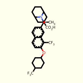 C[C@@H](c1ccc2ccc(OC3CCC(C(F)(F)F)CC3)c(C(F)(F)F)c2c1)N1C2CCCC1CC(C(=O)O)C2